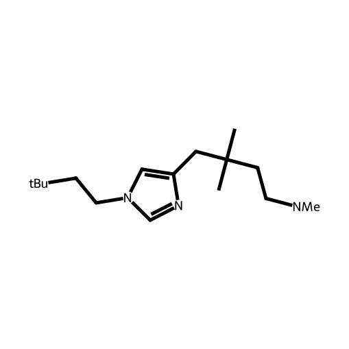 CNCCC(C)(C)Cc1cn(CCC(C)(C)C)cn1